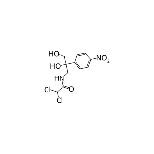 O=C(NCC(O)(CO)c1ccc([N+](=O)[O-])cc1)C(Cl)Cl